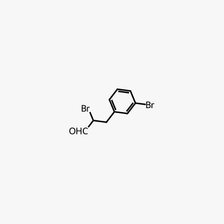 O=CC(Br)Cc1cccc(Br)c1